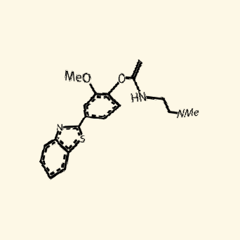 C=C(NCCNC)Oc1ccc(-c2nc3ccccc3s2)cc1OC